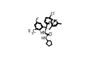 Cc1cc(C[C@](NC(=O)NC2CCCC2)(c2cc(F)cc(C(F)(F)F)c2)c2ccc(Cl)cn2)on1